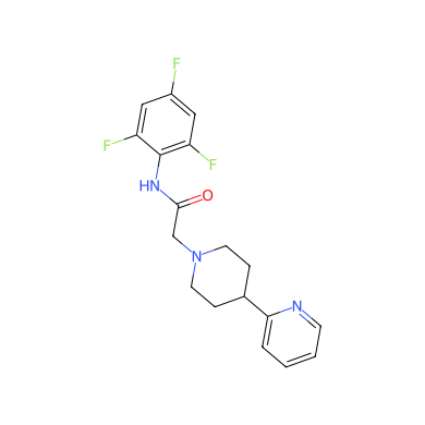 O=C(CN1CCC(c2ccccn2)CC1)Nc1c(F)cc(F)cc1F